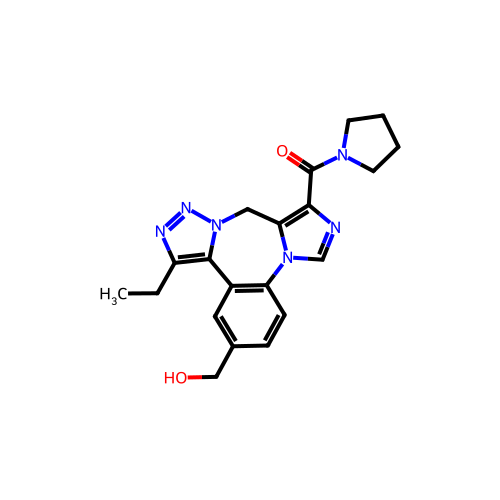 CCc1nnn2c1-c1cc(CO)ccc1-n1cnc(C(=O)N3CCCC3)c1C2